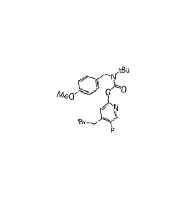 COc1ccc(CN(C(=O)Oc2cc(CBr)c(F)cn2)C(C)(C)C)cc1